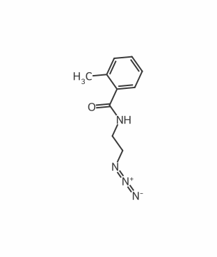 Cc1ccccc1C(=O)NCCN=[N+]=[N-]